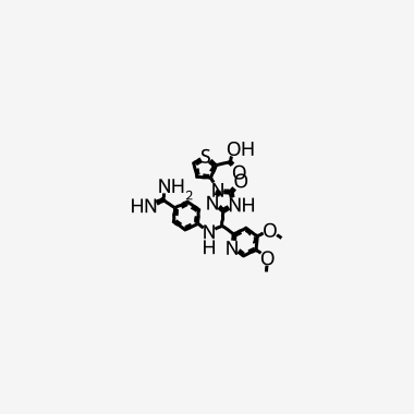 COc1cnc(C(Nc2ccc(C(=N)N)cc2)c2nn(-c3ccsc3C(=O)O)c(=O)[nH]2)cc1OC